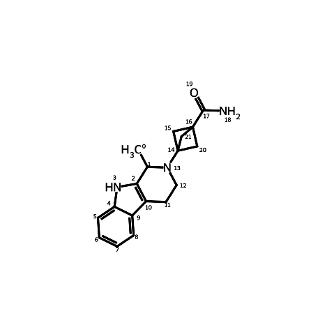 CC1c2[nH]c3ccccc3c2CCN1C12CC(C(N)=O)(C1)C2